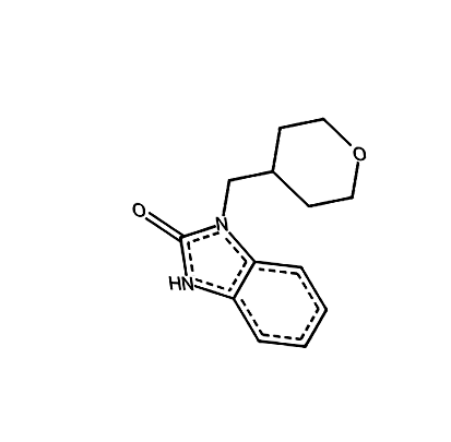 O=c1[nH]c2ccccc2n1CC1CCOCC1